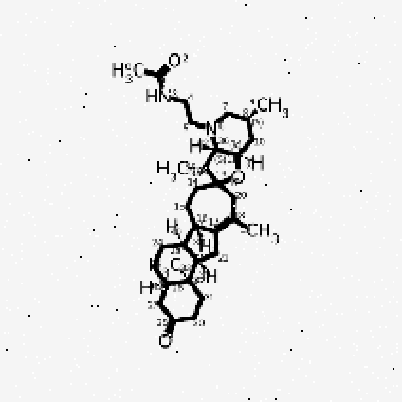 CC(=O)NCCN1C[C@@H](C)C[C@H]2OC3(CC[C@@H]4C(=C(C)C3)C[C@H]3[C@H]4CC[C@@H]4CC(=O)CC[C@@]43C)[C@H](C)[C@@H]21